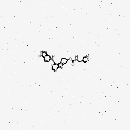 Cn1cc(CNC(=O)OC2CCc3c(sc4ncnc(Nc5ccc6[nH]ncc6c5)c34)C2)cn1